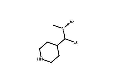 CCC(C1CCNCC1)N(C)C(C)=O